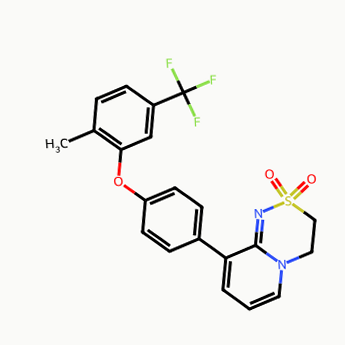 Cc1ccc(C(F)(F)F)cc1Oc1ccc(C2=CC=CN3CCS(=O)(=O)N=C23)cc1